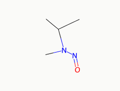 CC(C)N(C)N=O